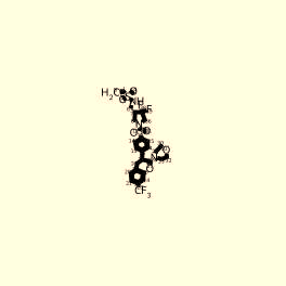 C=CS(=O)(=O)NC[C@H]1CN(S(=O)(=O)c2ccc(C(Cc3ccc(C(F)(F)F)cc3)C(=O)N3CCOCC3)cc2)CC1(F)F